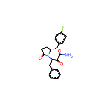 NC(=O)C(=O)C(Cc1ccccc1)N1C(=O)CC[C@@H]1Cc1ccc(F)cc1